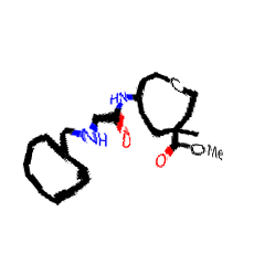 COC(=O)C1(C)CCCCCC(NC(=O)CNCc2ccccccccc2)CC1